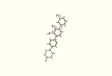 CC1CCC(c2ccc(-c3ccc(-c4cccc(F)c4)c(F)c3F)cc2)CC1